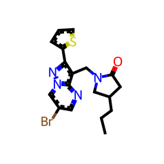 CCCC1CC(=O)N(Cc2c(-c3cccs3)nn3cc(Br)cnc23)C1